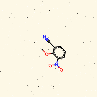 [CH2]Oc1c(C#N)cccc1[N+](=O)[O-]